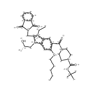 CCCCCOc1cc2c(cc1C(=O)N1CCN(C(=O)OC(C)(C)C)CC1)[n+](CC)c(CN1C(=O)c3ccccc3C1=O)n2C[C@H](C)O